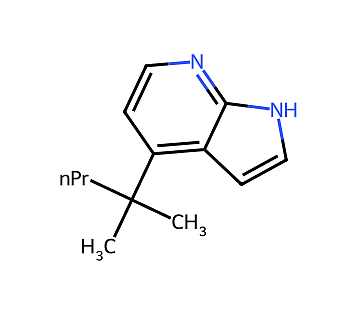 CCCC(C)(C)c1ccnc2[nH]ccc12